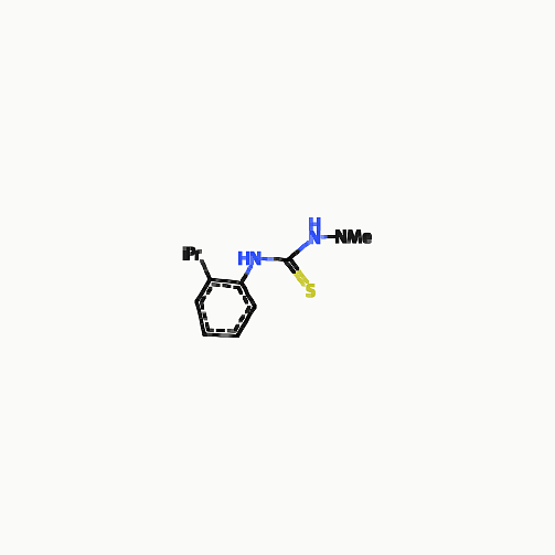 CNNC(=S)Nc1ccccc1C(C)C